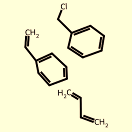 C=CC=C.C=Cc1ccccc1.ClCc1ccccc1